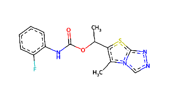 Cc1c(C(C)OC(=O)Nc2ccccc2F)sc2nncn12